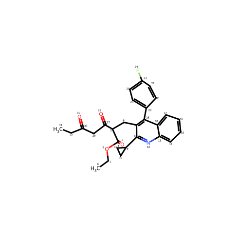 CCOC(=O)C(Cc1c(C2CC2)nc2ccccc2c1-c1ccc(F)cc1)C(=O)CC(=O)CC